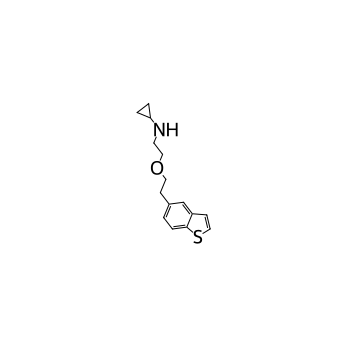 c1cc2cc(CCOCCNC3CC3)ccc2s1